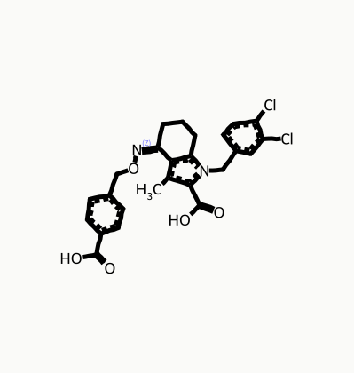 Cc1c2c(n(Cc3ccc(Cl)c(Cl)c3)c1C(=O)O)CCC/C2=N/OCc1ccc(C(=O)O)cc1